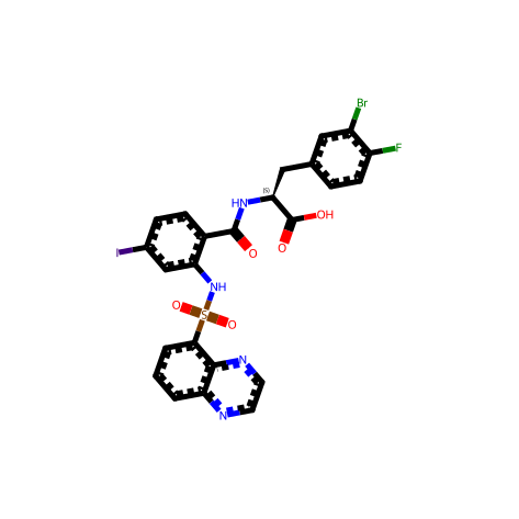 O=C(N[C@@H](Cc1ccc(F)c(Br)c1)C(=O)O)c1ccc(I)cc1NS(=O)(=O)c1cccc2nccnc12